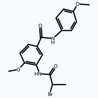 COc1ccc(NC(=O)c2ccc(OC)c(NC(=O)C(C)Br)c2)cc1